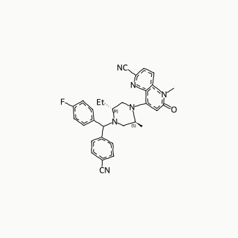 CC[C@@H]1CN(c2cc(=O)n(C)c3ccc(C#N)nc23)[C@@H](C)CN1C(c1ccc(F)cc1)c1ccc(C#N)cc1